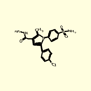 CCCNC(=O)c1cc(-c2ccc(Cl)cc2)n(-c2ccc(S(N)(=O)=O)cc2)c1C